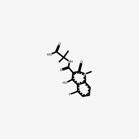 Cn1c(=O)c(C(=O)NC(C)(C)C(=O)O)c(O)c2c(F)cccc21